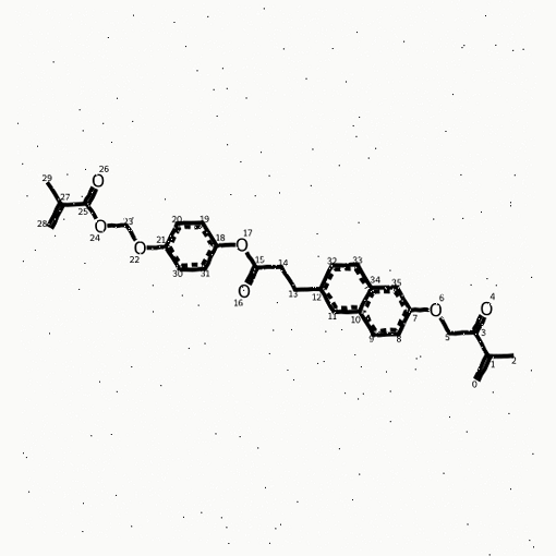 C=C(C)C(=O)COc1ccc2cc(CCC(=O)Oc3ccc(OCOC(=O)C(=C)C)cc3)ccc2c1